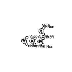 CCCCCCCCCc1ccc(OP(=O)([O-])Oc2ccc(CCCCCCCCC)cc2)cc1.CCCCCCCCCc1ccc(OP(=O)([O-])Oc2ccc(CCCCCCCCC)cc2)cc1.CCCCCCCCCc1ccc(OP(=O)([O-])Oc2ccc(CCCCCCCCC)cc2)cc1.CCCCCCCCCc1ccc(OP(=O)([O-])Oc2ccc(CCCCCCCCC)cc2)cc1.[Mo+4]